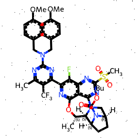 COc1ccc(CN(Cc2ccc(OC)cc2)c2nc(C)c(C(F)(F)F)c(-c3nc4c5c(nc(S(C)(=O)=O)nc5c3F)N3C[C@H]5CC[C@@H]([C@H]3[C@H](C)O4)N5C(=O)OC(C)(C)C)n2)cc1